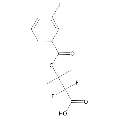 CC(C)(OC(=O)c1cccc(I)c1)C(F)(F)C(=O)O